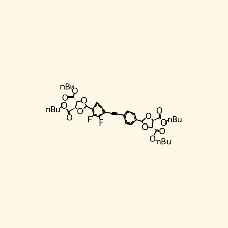 CCCCOC(=O)[C@@H]1OC(c2ccc(C#Cc3ccc(C4O[C@@H](C(=O)OCCCC)[C@H](C(=O)OCCCC)O4)c(F)c3F)cc2)O[C@H]1C(=O)OCCCC